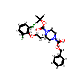 CC(C)(C)OC(=O)N1CCN(C(=O)OCc2ccccc2)C[C@H]1CCOc1c(F)cccc1F